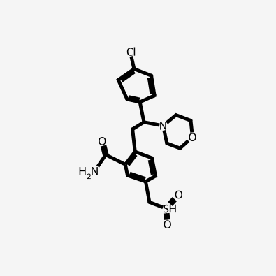 NC(=O)c1cc(C[SH](=O)=O)ccc1CC(c1ccc(Cl)cc1)N1CCOCC1